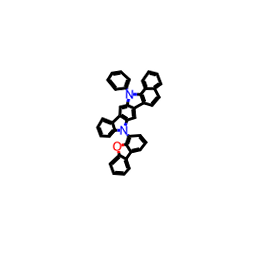 c1ccc(-n2c3cc4c5ccccc5n(-c5cccc6c5oc5ccccc56)c4cc3c3ccc4ccccc4c32)cc1